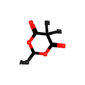 CCC1(CC)C(=O)OC(OC(C)=O)OC1=O